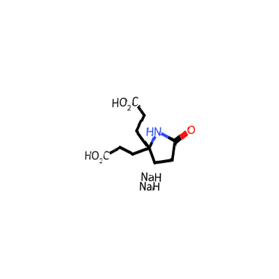 O=C(O)CCC1(CCC(=O)O)CCC(=O)N1.[NaH].[NaH]